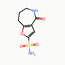 NS(=O)(=O)c1cc2c(o1)CCCNC2=O